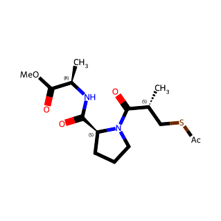 COC(=O)[C@@H](C)NC(=O)[C@@H]1CCCN1C(=O)[C@H](C)CSC(C)=O